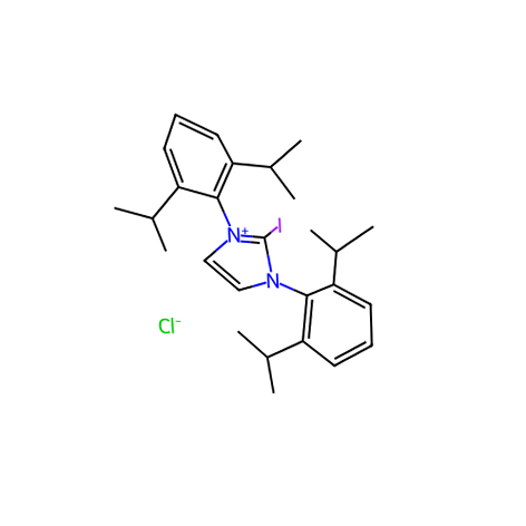 CC(C)c1cccc(C(C)C)c1-n1cc[n+](-c2c(C(C)C)cccc2C(C)C)c1I.[Cl-]